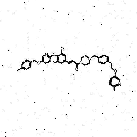 Cc1ccc(COc2ccc(Oc3c(C)cc(/C=C/C(=O)N4CCN(Cc5ccc(CCOc6ccc(C)nc6)cc5)CC4)cc3Cl)nc2)cc1